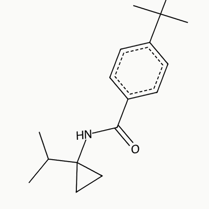 CC(C)C1(NC(=O)c2ccc(C(C)(C)C)cc2)CC1